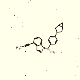 CC#Cc1cccc2c1cnn2[C@@H](C)c1ccc(N2CC3CC3C2)cc1